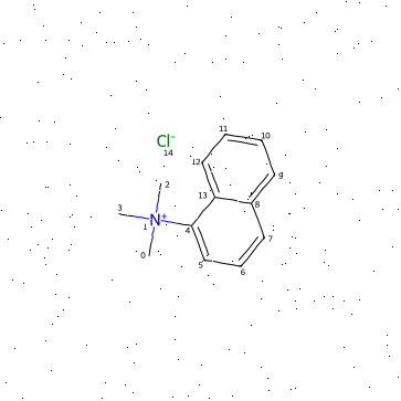 C[N+](C)(C)c1cccc2ccccc12.[Cl-]